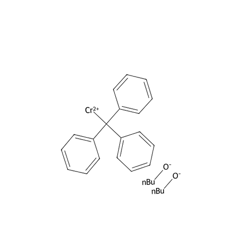 CCCC[O-].CCCC[O-].[Cr+2][C](c1ccccc1)(c1ccccc1)c1ccccc1